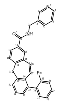 O=C(NCc1cccnc1)c1ccc2c(c1)N=Cc1c(cccc1-c1ccccc1F)S2